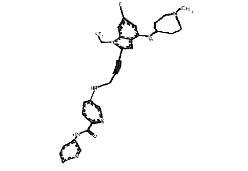 CN1CCC(Nc2cc(F)cc3c2cc(C#CCNc2ccc(C(=O)Nc4cccnc4)nc2)n3CC(F)(F)F)CC1